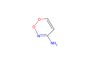 NC1=NOOC=C1